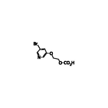 O=C(O)OCCOc1cncc(Br)c1